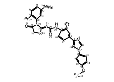 CCc1cc(-c2ncn(-c3ccc(OC(F)(F)F)cc3)n2)ccc1NC(=O)N=C1SCC(=O)N1c1cc(NC)ccc1C(C)C